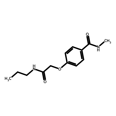 CCCNC(=O)COc1ccc(C(=O)NC)cc1